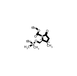 C[C@H]1CC(=O)N(C(=O)OC(C)(C)C)[C@@H]1CO[Si](C)(C)C(C)(C)C